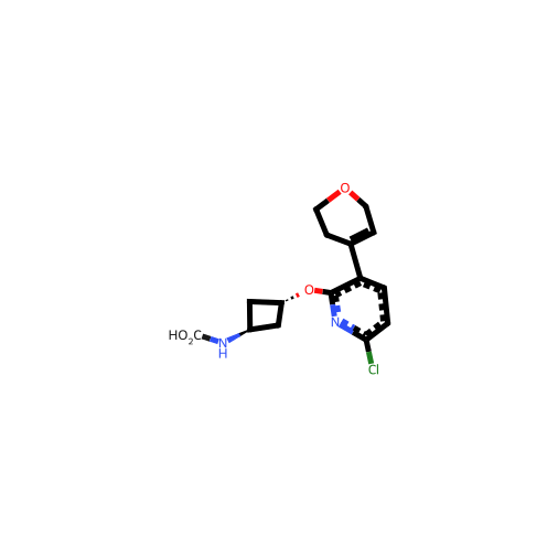 O=C(O)N[C@H]1C[C@H](Oc2nc(Cl)ccc2C2=CCOCC2)C1